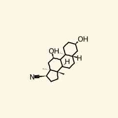 C[C@@]12CC[C@@H](C#N)[C@@]1(C)C[C@@H](O)C1[C@H]2CC[C@H]2C[C@H](O)CC[C@]12C